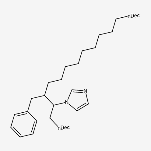 CCCCCCCCCCCCCCCCCCCC(Cc1ccccc1)C(CCCCCCCCCCC)n1ccnc1